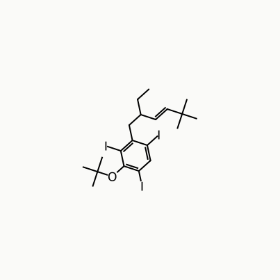 CCC(C=CC(C)(C)C)Cc1c(I)cc(I)c(OC(C)(C)C)c1I